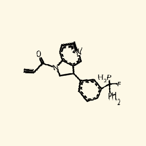 C=CC(=O)N1CC(c2cccc(C(F)(P)P)c2)c2cnccc21